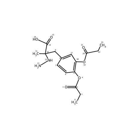 CCC(=O)Oc1ccc(CC(C)(NN)C(=O)O)cc1OC(=O)CC